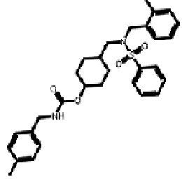 Cc1ccc(CNC(=O)OC2CCC(CN(Cc3ccccc3C)S(=O)(=O)c3ccccc3)CC2)cc1